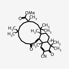 COC(=O)[C@@]1(C)CCC(C)(C)CCCC(=O)/C=C2/[C@@]3(C)C=C(C#N)C(=O)C(C)(C)[C@@H]3CC[C@@]2(C)C(C)(C)CC1